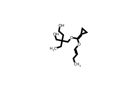 CC/C=C/OC(OCC(CC)(CO)CCO)=C1CC1